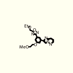 CCOCc1nc(-c2cc(OCCOC)cc(-c3cn4ncccc4n3)c2)no1